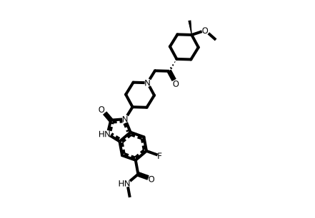 CNC(=O)c1cc2[nH]c(=O)n(C3CCN(CC(=O)[C@H]4CC[C@@](C)(OC)CC4)CC3)c2cc1F